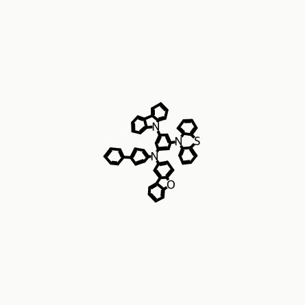 c1ccc(-c2ccc(N(c3cc(N4c5ccccc5Sc5ccccc54)cc(-n4c5ccccc5c5ccccc54)c3)c3ccc4oc5ccccc5c4c3)cc2)cc1